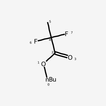 CCCCOC(=O)C(C)(F)F